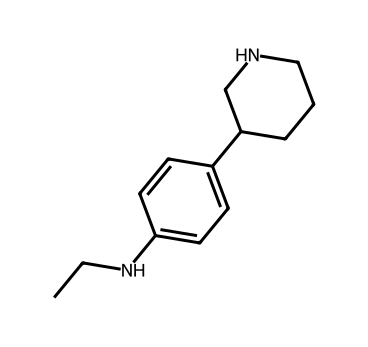 CCNc1ccc(C2CCCNC2)cc1